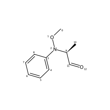 CON(c1ccccc1)[C@@H](C)[C]=O